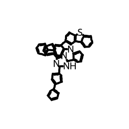 c1ccc(C2=NC(c3ccccc3-n3c4ccc(-c5ccccc5)cc4c4ccc5sc6ccccc6c5c43)NC(c3ccc(-c4ccccc4)cc3)=N2)cc1